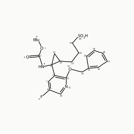 CC(C)(C)OC(=O)NC1(c2cc(F)cnc2OCc2ccccc2)CC1CCCS(=O)(=O)O